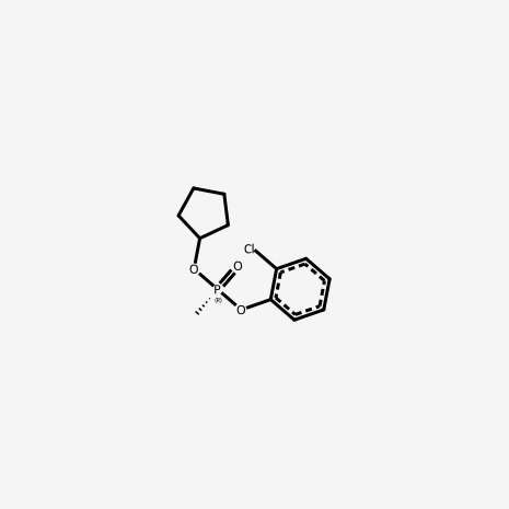 C[P@](=O)(Oc1ccccc1Cl)OC1CCCC1